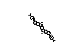 CC(C)C1CCN(c2ccc3cc4c(cc3c2)sc2cc3c(cc24)sc2cc4cc(N5CCC(C(C)C)CC5)ccc4cc23)CC1